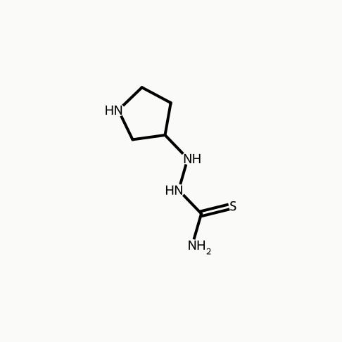 NC(=S)NNC1CCNC1